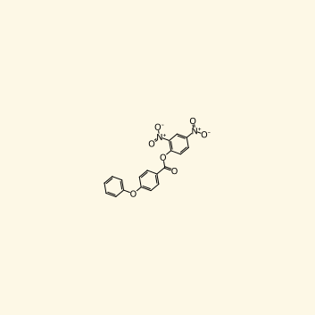 O=C(Oc1ccc([N+](=O)[O-])cc1[N+](=O)[O-])c1ccc(Oc2ccccc2)cc1